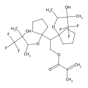 C=C(C)C(=O)OCC(C1(OC(C)C(C)(O)C(F)(F)F)CCCC1)C1(OC(C)C(C)(O)C(F)(F)F)CCCC1